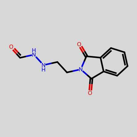 O=CNNCCN1C(=O)c2ccccc2C1=O